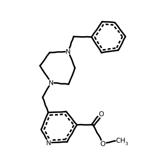 COC(=O)c1cncc(CN2CCN(Cc3ccccc3)CC2)c1